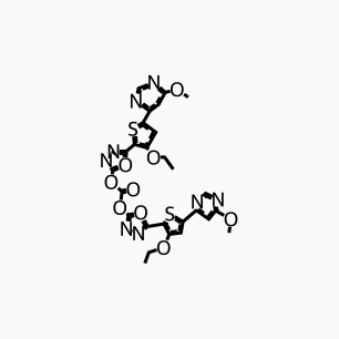 CCOc1cc(-c2cc(OC)ncn2)sc1-c1nnc(OC(=O)Oc2nnc(-c3sc(-c4cc(OC)ncn4)cc3OCC)o2)o1